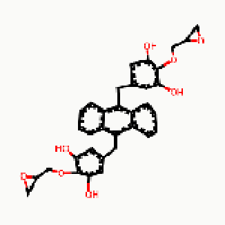 Oc1cc(Cc2c3ccccc3c(Cc3cc(O)c(OCC4CO4)c(O)c3)c3ccccc23)cc(O)c1OCC1CO1